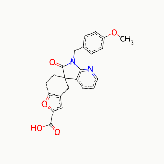 COc1ccc(CN2C(=O)C3(CCc4oc(C(=O)O)cc4C3)c3cccnc32)cc1